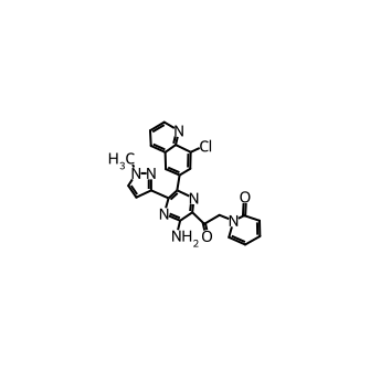 Cn1ccc(-c2nc(N)c(C(=O)Cn3ccccc3=O)nc2-c2cc(Cl)c3ncccc3c2)n1